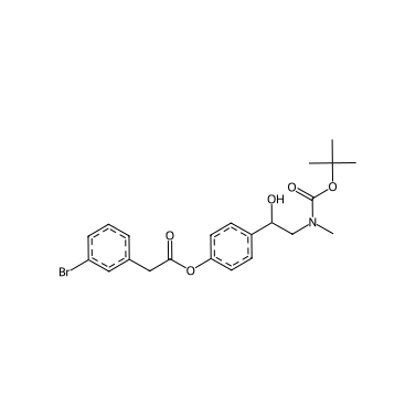 CN(CC(O)c1ccc(OC(=O)Cc2cccc(Br)c2)cc1)C(=O)OC(C)(C)C